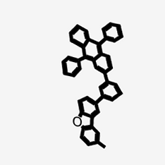 Cc1ccc2oc3ccc(-c4cccc(-c5ccc6c(-c7ccccc7)c7ccccc7c(-c7ccccc7)c6c5)c4)cc3c2c1